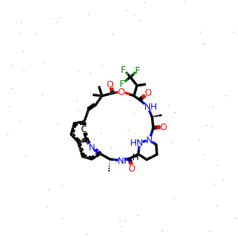 CC(C1OC(=O)C(C)(C)/C=C/c2ccc3ccc(nc3c2)[C@@H](C)NC(=O)[C@@H]2CCCN(N2)C(=O)[C@H](C)NC1=O)C(F)(F)F